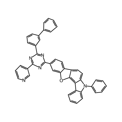 c1ccc(-c2cccc(-c3nc(-c4cccnc4)nc(-c4ccc5c(c4)oc4c5ccc5c4c4ccccc4n5-c4ccccc4)n3)c2)cc1